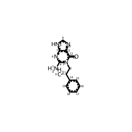 C[C@H](Cn1c(N)nc2[nH]cnc2c1=O)c1ccccc1